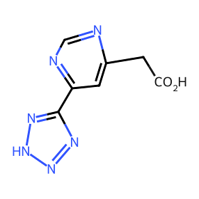 O=C(O)Cc1cc(-c2nn[nH]n2)ncn1